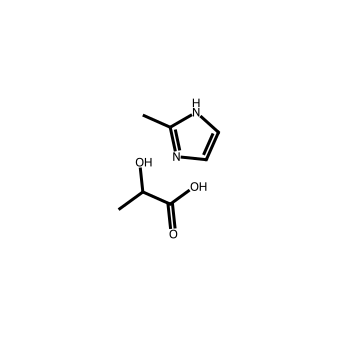 CC(O)C(=O)O.Cc1ncc[nH]1